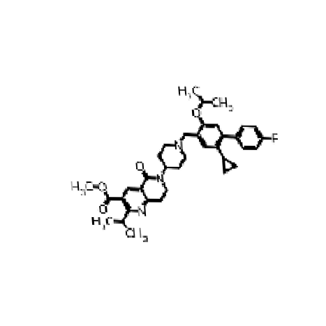 COC(=O)c1cc2c(nc1C(C)C)CCN(C1CCN(Cc3cc(C4CC4)c(-c4ccc(F)cc4)cc3OC(C)C)CC1)C2=O